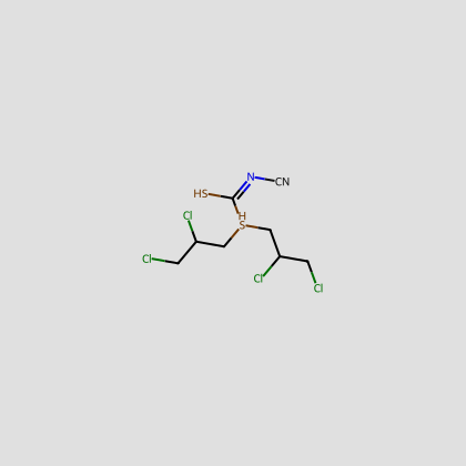 N#CN=C(S)[SH](CC(Cl)CCl)CC(Cl)CCl